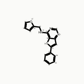 c1ccc(-c2cc3ncnc(NCc4ccco4)c3s2)cc1